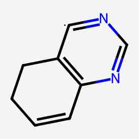 [c]1ncnc2c1CCC=C2